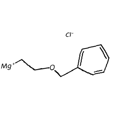 [Cl-].[Mg+][CH2]COCc1ccccc1